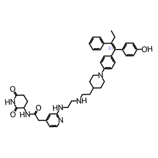 CC/C(=C(\c1ccc(O)cc1)c1ccc(N2CCC(CCNCCNc3cc(CC(=O)NC4CCC(=O)NC4=O)ccn3)CC2)cc1)c1ccccc1